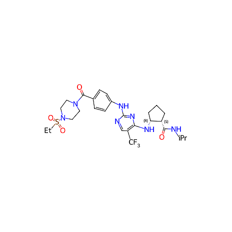 CCS(=O)(=O)N1CCN(C(=O)c2ccc(Nc3ncc(C(F)(F)F)c(N[C@@H]4CCC[C@@H]4C(=O)NC(C)C)n3)cc2)CC1